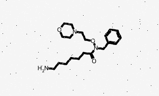 NCCCCCCC(=O)N(Cc1ccccc1)OCCN1CCOCC1